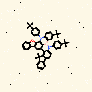 CC(C)(C)c1ccc(N2B3c4cc(C(C)(C)C)ccc4N(c4ccc(C(C)(C)C)cc4)c4c3c(cc3c4oc4ccccc43)-c3c2ccc2c3C(C)(C)c3ccccc3-2)cc1